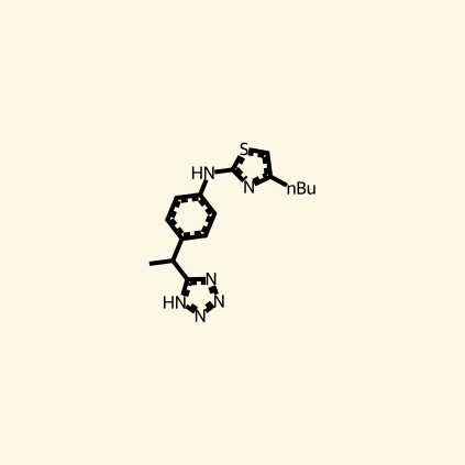 CCCCc1csc(Nc2ccc(C(C)c3nnn[nH]3)cc2)n1